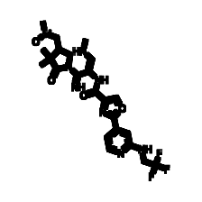 CN/C=C(/NC(=O)c1coc(-c2ccnc(NCC(F)(F)F)c2)n1)C(=N)N1CC(C[S+](C)[O-])C(C)(C)C1=O